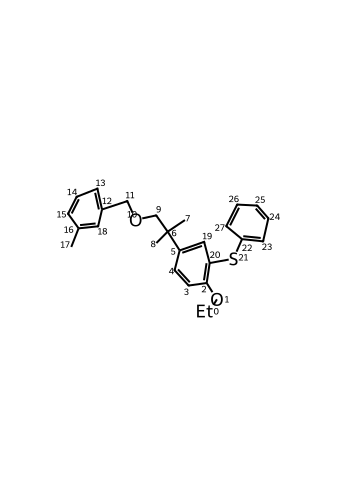 CCOc1ccc(C(C)(C)COCc2cccc(C)c2)cc1Sc1ccccc1